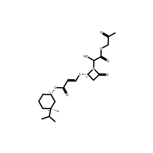 CC(=O)COC(=O)C(O)N1C(=O)C[C@@H]1SC=CC(=O)O[C@H]1CCC[C@](C)(C(C)C)C1